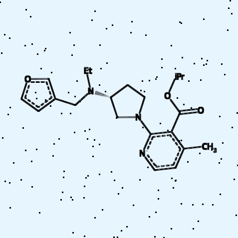 CCN(Cc1ccoc1)[C@@H]1CCN(c2nccc(C)c2C(=O)OC(C)C)C1